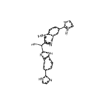 CCCC(c1nc2cc(-c3ncc[nH]3)ccc2[nH]1)c1nc2cc(-c3ncc[nH]3)ccc2[nH]1